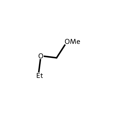 [CH2]OCOCC